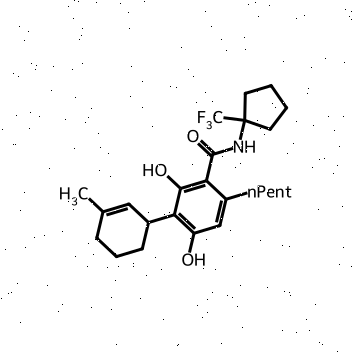 CCCCCc1cc(O)c(C2C=C(C)CCC2)c(O)c1C(=O)NC1(C(F)(F)F)CCCC1